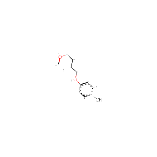 N#Cc1ccc(OCC2CCOCC2)cc1